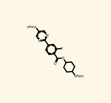 CCCCCc1cnc(-c2ccc(C(=O)OC3CCC(CCCCC)CC3)c(F)c2)nc1